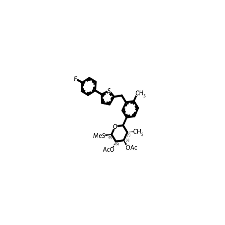 CS[C@H]1OC(c2ccc(C)c(Cc3ccc(-c4ccc(F)cc4)s3)c2)[C@H](C)[C@@H](OC(C)=O)[C@@H]1OC(C)=O